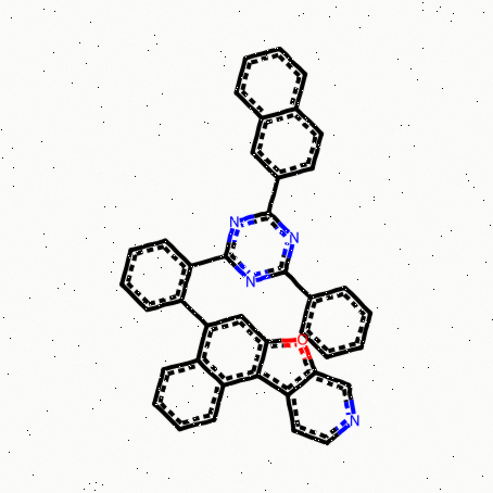 c1ccc(-c2nc(-c3ccc4ccccc4c3)nc(-c3ccccc3-c3cc4oc5cnccc5c4c4ccccc34)n2)cc1